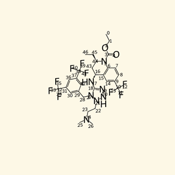 CCOC(=O)N1c2ccc(C(F)(F)F)cc2[C@@H](NC2=NNN(CCN(C)C)N2Cc2cc(C(F)(F)F)cc(C(F)(F)F)c2)C[C@H]1CC